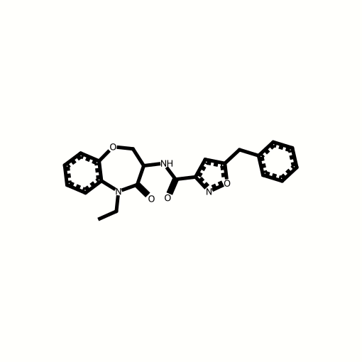 CCN1C(=O)C(NC(=O)c2cc(Cc3ccccc3)on2)COc2ccccc21